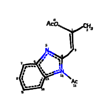 CC(=O)O/C(C)=C\c1nc2ccccc2n1C(C)=O